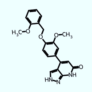 COc1ccccc1COc1ccc(-c2cc(=O)[nH]c3n[nH]cc23)cc1OC